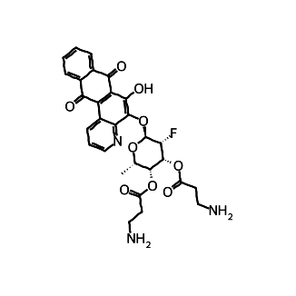 C[C@@H]1O[C@@H](Oc2c(O)c3c(c4cccnc24)C(=O)c2ccccc2C3=O)[C@H](F)[C@H](OC(=O)CCN)[C@@H]1OC(=O)CCN